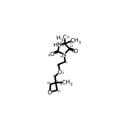 CC1(COCCN2C(=O)NC(C)(C)C2=O)COC1